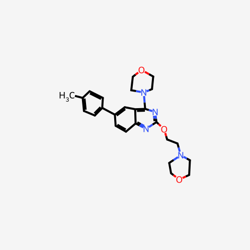 Cc1ccc(-c2ccc3nc(OCCN4CCOCC4)nc(N4CCOCC4)c3c2)cc1